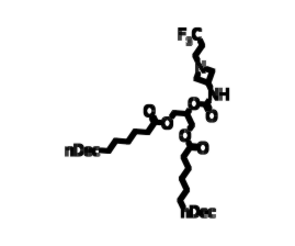 CCCCCCCCCCCCCCCC(=O)OCC(COC(=O)CCCCCCCCCCCCCCC)OC(=O)NC1CN(CCC(F)(F)F)C1